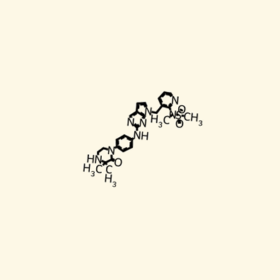 CN(c1ncccc1Cn1ccc2cnc(Nc3ccc(N4CCNC(C)(C)C4=O)cc3)nc21)S(C)(=O)=O